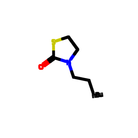 CCCCCCN1CCSC1=O